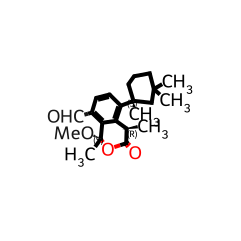 CO[C@@]1(C)OC(=O)[C@H](C)c2c([C@@]3(C)CCCC(C)(C)C3)ccc(C=O)c21